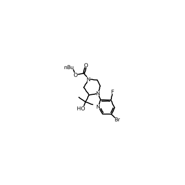 CCCCOC(=O)N1CCN(c2ncc(Br)cc2F)C(C(C)(C)O)C1